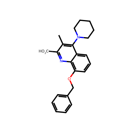 Cc1c(C(=O)O)nc2c(OCc3ccccc3)cccc2c1N1CCCCC1